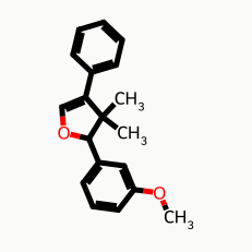 COc1cccc(C2OC=C(c3ccccc3)C2(C)C)c1